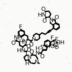 CN1CC[C@H]2CC[C@@H](C(=O)NC(CCC(N)=O)C(=O)NC(Cc3cccc(F)c3)C(=O)N3CCC(CCC#Cc4cccc5c4CN(C4CCC(=O)NC4=O)C5=O)CC3)N2C(=O)[C@@H](NC(=O)c2cc3cc(C(F)(F)P(=O)(O)O)ccc3s2)C1